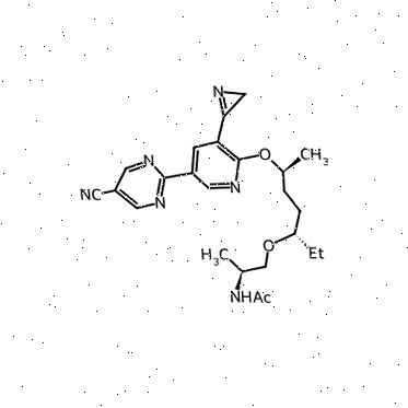 CC[C@@H](CC[C@H](C)Oc1ncc(-c2ncc(C#N)cn2)cc1C1=NC1)OC[C@H](C)NC(C)=O